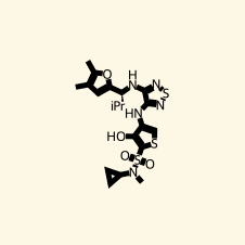 Cc1cc([C@H](Nc2nsnc2Nc2csc(S(=O)(=O)N(C)C3CC3)c2O)C(C)C)oc1C